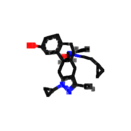 Cc1nn(C2CC2)c2c1C[C@@]1(O)[C@H]3Cc4ccc(O)cc4[C@@]1(CCN3CC1CC1)C2